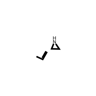 C1CN1.C=CC